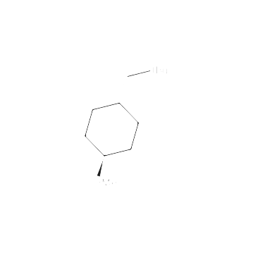 CO[C@H]1CC[C@H](CC(C)(C)C)CC1